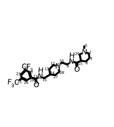 CN1CCCC(C(=O)NCCN2CCC(CNC(=O)c3cc(C(F)(F)F)cc(C(F)(F)F)c3)CC2)C1